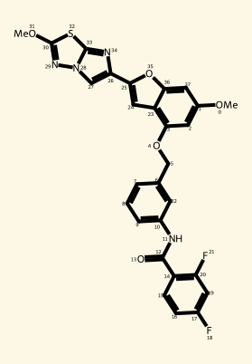 COc1cc(OCc2cccc(NC(=O)c3ccc(F)cc3F)c2)c2cc(-c3cn4nc(OC)sc4n3)oc2c1